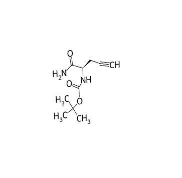 C#CC[C@@H](NC(=O)OC(C)(C)C)C(N)=O